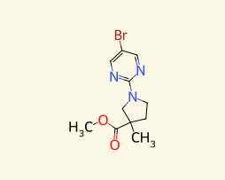 COC(=O)C1(C)CCN(c2ncc(Br)cn2)C1